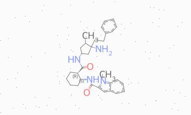 CC1CC(NC(=O)[C@@H]2CCCC[C@@H]2NC(=O)c2cc3ccccc3n2C)CC1(N)CCc1ccccc1